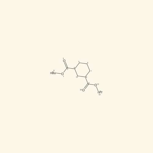 CCCCOC(=O)C1CCCC(C(=O)OCCC)C1